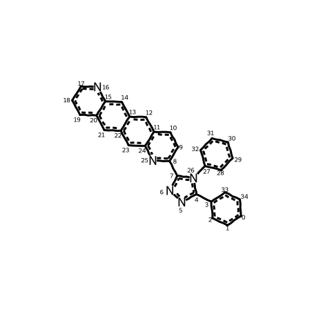 c1ccc(-c2nnc(-c3ccc4cc5cc6ncccc6cc5cc4n3)n2-c2ccccc2)cc1